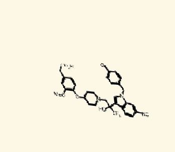 [C-]#[N+]c1ccc2c(C(O)(CN3CCC(Oc4ccc(CC(=O)OCC)cc4OC)CC3)C(F)(F)F)cn(Cc3ccc(Cl)cc3)c2c1